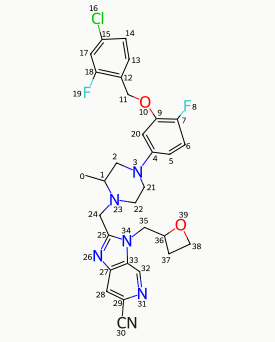 CC1CN(c2ccc(F)c(OCc3ccc(Cl)cc3F)c2)CCN1Cc1nc2cc(C#N)ncc2n1CC1CCO1